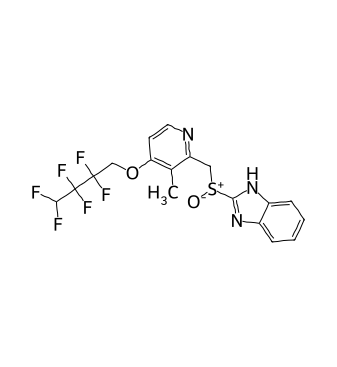 Cc1c(OCC(F)(F)C(F)(F)C(F)F)ccnc1C[S+]([O-])c1nc2ccccc2[nH]1